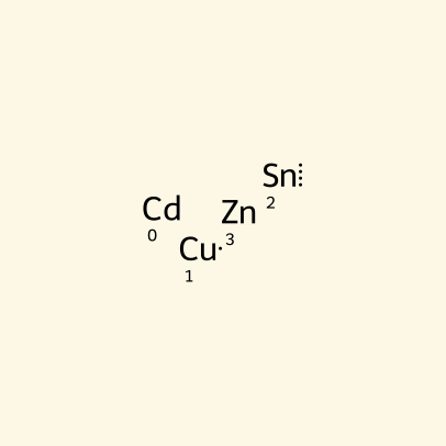 [Cd].[Cu].[Sn].[Zn]